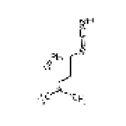 CN(C)CCCN=C=N.O=P